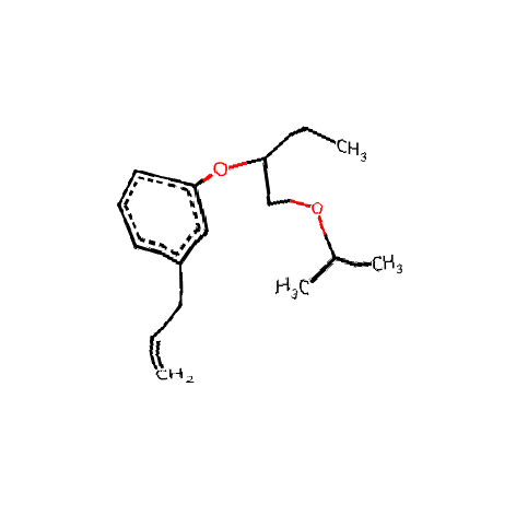 C=CCc1cccc(OC(CC)COC(C)C)c1